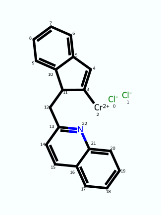 [Cl-].[Cl-].[Cr+2][C]1=Cc2ccccc2C1Cc1ccc2ccccc2n1